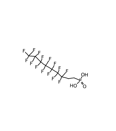 O=P(O)(O)CCC(F)(F)C(F)(F)C(F)(F)C(F)(F)C(F)(F)C(F)(F)C(F)(F)F